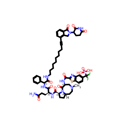 CN1CC[C@H]2CC[C@@H](C(=O)N[C@@H](CCC(N)=O)C(=O)N[C@H](C(=O)NCCCCCCCCCC#Cc3cccc4c3CN(C3CCC(=O)NC3=O)C4=O)c3ccccc3)N2C(=O)[C@@H](NC(=O)c2nc3cc(C(F)(F)P(=O)(O)O)ccc3s2)C1